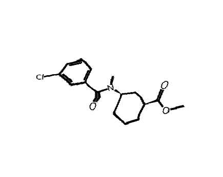 COC(=O)[C@H]1CCC[C@@H](N(C)C(=O)c2cccc(Cl)c2)C1